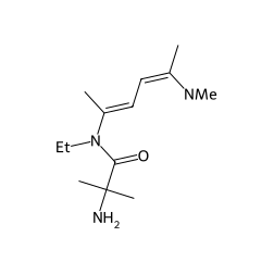 CCN(C(=O)C(C)(C)N)/C(C)=C/C=C(/C)NC